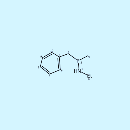 CCNP(C)Cc1ccccc1